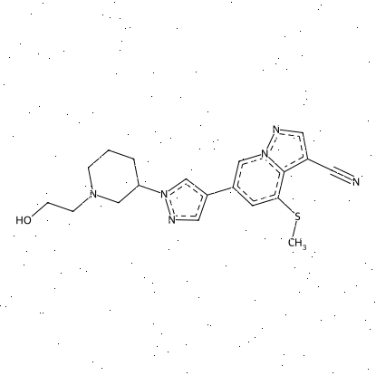 CSc1cc(-c2cnn(C3CCCN(CCO)C3)c2)cn2ncc(C#N)c12